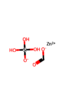 O=C[O-].[O-][Si](O)(O)O.[Zn+2]